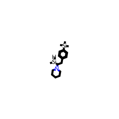 C[SiH](C)C(Cc1ccc([Si](C)(C)C)cc1)N1CCCCC1